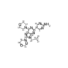 Nc1ncc(-c2nc(N3CCOCC3)c3nc(N4CCOCO4)n(CC4CC4)c3n2)cn1